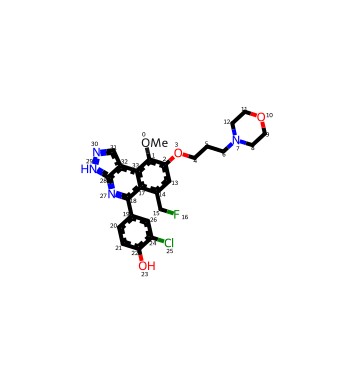 COc1c(OCCCN2CCOCC2)cc(CF)c2c(-c3ccc(O)c(Cl)c3)nc3[nH]ncc3c12